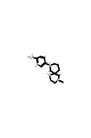 CN1CCOC2(CCCN(c3ccc(N)nc3)C2)C1